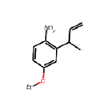 [CH2]C(C=C)c1cc(OCC)ccc1[N+](=O)[O-]